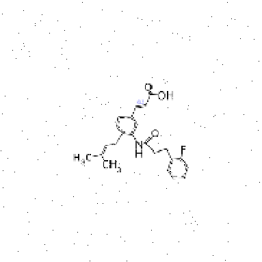 CC(C)=CCc1ccc(/C=C/C(=O)O)cc1NC(=O)CCc1ccccc1F